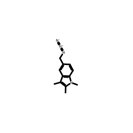 Cc1c(C)n(C)c2ccc(CN=[N+]=[N-])cc12